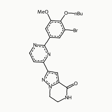 CCCCOc1c(Br)cc(-c2nccc(-c3cc4n(n3)CCNC4=O)n2)cc1OC